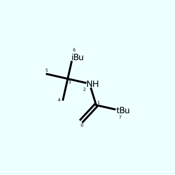 C=C(NC(C)(C)C(C)CC)C(C)(C)C